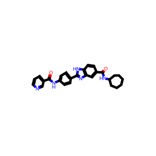 O=C(Nc1ccc(-c2nc3cc(C(=O)NC4CCCCCC4)ccc3[nH]2)cc1)c1cccnc1